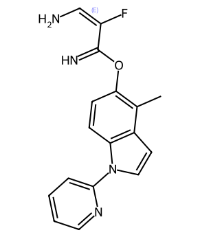 Cc1c(OC(=N)/C(F)=C\N)ccc2c1ccn2-c1ccccn1